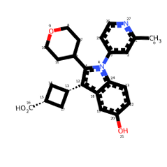 Cc1cc(-n2c(C3CCOCC3)c([C@H]3C[C@@H](C(=O)O)C3)c3cc(O)ccc32)ccn1